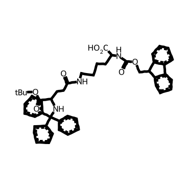 CC(C)(C)OC(=O)C(CCC(=O)NCCCCC(NC(=O)OCC1c2ccccc2-c2ccccc21)C(=O)O)NC(c1ccccc1)(c1ccccc1)c1ccccc1